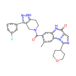 Cc1cc2c(cc1C(=O)N1CCc3[nH]nc(-c4cccc(F)c4)c3C1)[nH]c(=O)c1cnc(C3CCOCC3)n12